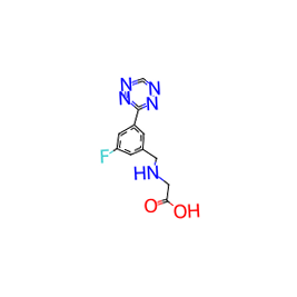 O=C(O)CNCc1cc(F)cc(-c2nncnn2)c1